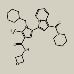 Cc1c(C(=O)NC2COC2)cc(-c2cc(C(=O)N3CCCCC3)c3ccccn23)n1CC1CCCCC1